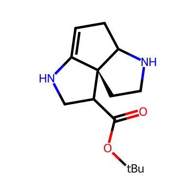 CC(C)(C)OC(=O)C1CNC2=CCC3NCC[C@@]231